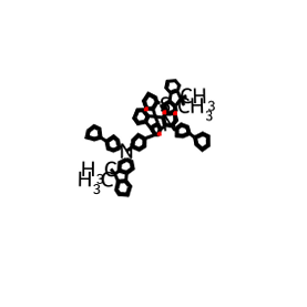 CC1(C)C2=C(C=CCC2)c2ccc(N(c3ccc(-c4ccccc4)cc3)c3ccc(-c4ccc(N(c5ccc(-c6ccccc6)cc5)c5ccc6c(c5)C(C)(C)c5ccccc5-6)cc4)c4c3C3(c5ccccc5Sc5ccccc53)c3ccccc3-4)cc21